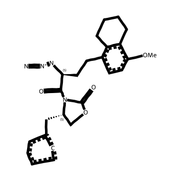 COc1ccc(CC[C@H](N=[N+]=[N-])C(=O)N2C(=O)OC[C@@H]2Cc2ccccc2)c2c1CCCC2